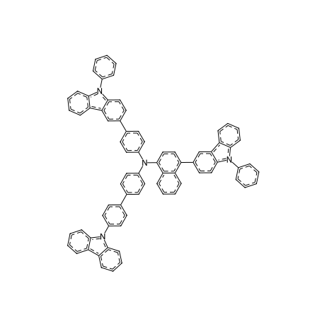 c1ccc(-n2c3ccccc3c3cc(-c4ccc(N(c5ccc(-c6ccc(-n7c8ccccc8c8ccccc87)cc6)cc5)c5ccc(-c6ccc7c(c6)c6ccccc6n7-c6ccccc6)c6ccccc56)cc4)ccc32)cc1